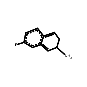 NC1C=c2cc(F)ccc2=CC1